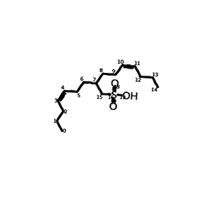 CCC/C=C\CCC(CC/C=C\CCC)CS(=O)(=O)O